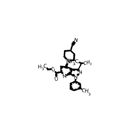 CCOC(=O)c1cc(N2CCC(C#N)CC2)c2c(C(C)C)nn(-c3cccc(C)c3)c2n1